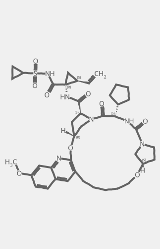 C=C[C@@H]1C[C@]1(NC(=O)[C@@H]1C[C@@H]2CN1C(=O)[C@H](C1CCCC1)NC(=O)N1CC[C@@H](C1)OCCCCCc1cc3ccc(OC)cc3nc1O2)C(=O)NS(=O)(=O)C1CC1